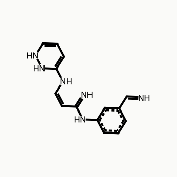 N=Cc1cccc(NC(=N)/C=C\NC2=CC=CNN2)c1